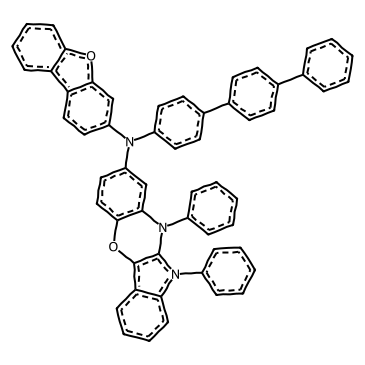 c1ccc(-c2ccc(-c3ccc(N(c4ccc5c(c4)N(c4ccccc4)c4c(c6ccccc6n4-c4ccccc4)O5)c4ccc5c(c4)oc4ccccc45)cc3)cc2)cc1